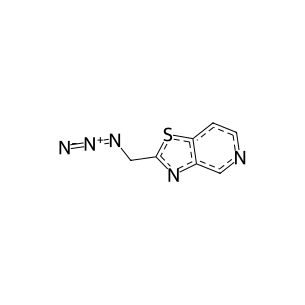 [N-]=[N+]=NCc1nc2cnccc2s1